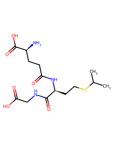 CC(C)SCC[C@H](NC(=O)CC[C@H](N)C(=O)O)C(=O)NCC(=O)O